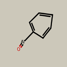 [O]=[Al][c]1ccccc1